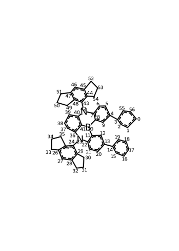 c1ccc(-c2ccc3c(c2)B2c4cc(-c5ccccc5)ccc4N(c4c5c(cc6c4CCC6)CCC5)c4cccc(c42)N3c2c3c(cc4c2CCC4)CCC3)cc1